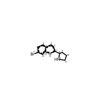 Brc1ccc2ccc(C3CCCN3)nc2c1